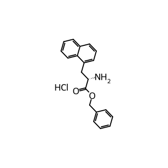 Cl.N[C@@H](Cc1cccc2ccccc12)C(=O)OCc1ccccc1